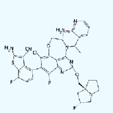 C=C[C@H]1COc2c(Cl)c(-c3ccc(F)c4sc(N)c(C#N)c34)c(F)c3nc(OC[C@@]45CCCN4C[C@H](F)C5)nc(c23)N1C(C)c1cccnc1N